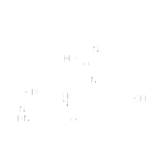 CCOc1cc(-c2cccnc2OC)nc2cc(C(=O)NCCc3c[nH]nc3C)ccc12